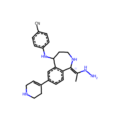 C/C(NN)=C1/NCCC(Nc2ccc(C#N)cc2)c2cc(C3=CCNCC3)ccc21